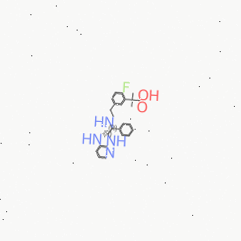 CC(C)(C(=O)O)c1cc(CCN[C@H](c2ccccc2)[C@H]2CNc3cccnc3N2)ccc1F